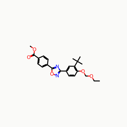 CCOCOc1ccc(-c2noc(-c3ccc(C(=O)OC)cc3)n2)cc1C(C)(C)C